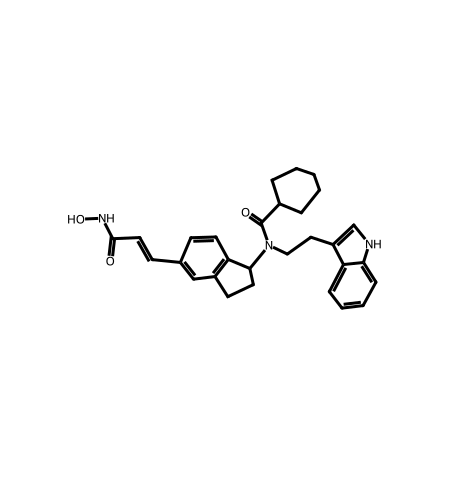 O=C(C=Cc1ccc2c(c1)CCC2N(CCc1c[nH]c2ccccc12)C(=O)C1CCCCC1)NO